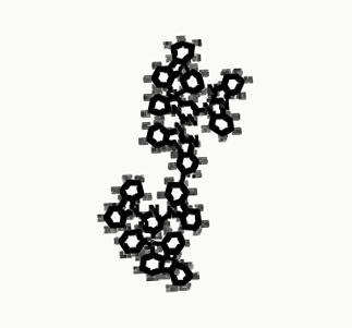 c1ccc([Si](c2ccccc2)(c2cc(-n3c4ccccc4c4cc(-c5ccc6nc7n(-c8nc(-n9c%10ccccc%10n%10c%11ccccc%11nc9%10)cc([Si](c9ccccc9)(c9ccccc9)c9cccc%10c9oc9ccccc9%10)n8)c8ccccc8n7c6c5)ccc43)nc(-n3c4ccccc4c4ccccc43)n2)c2cccc3c2oc2ccccc23)cc1